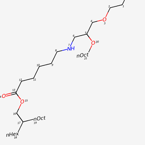 CCCCCCCCCCCCOCC(CNCCCCCC(=O)OCC(CCCCCC)CCCCCCCC)OCCCCCCCC